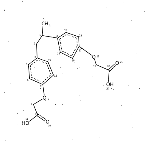 CC(Cc1ccc(OCC(=O)O)cc1)c1ccc(OCC(=O)O)cc1